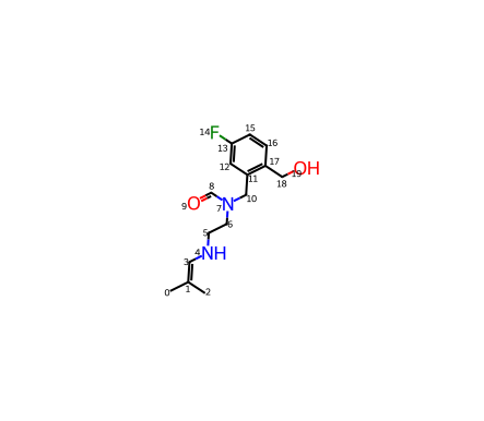 CC(C)=CNCCN(C=O)Cc1cc(F)ccc1CO